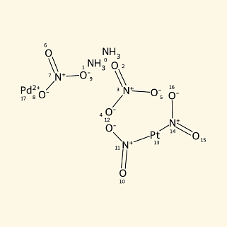 N.N.O=[N+]([O-])[O-].O=[N+]([O-])[O-].O=[N+]([O-])[Pt][N+](=O)[O-].[Pd+2]